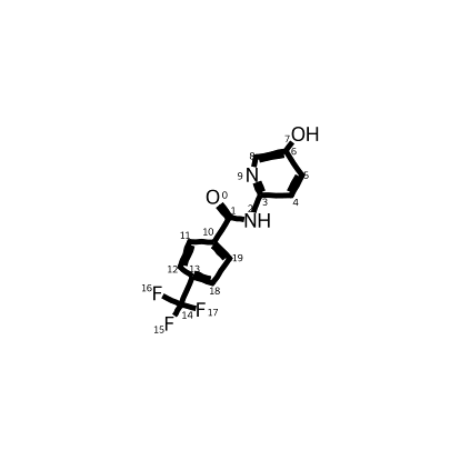 O=C(Nc1ccc(O)cn1)c1ccc(C(F)(F)F)cc1